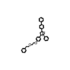 c1ccc(CCOCCOc2ccc(C3CC(c4ccc(-c5ccccc5)cc4)=NN3c3ccccc3)cc2)cc1